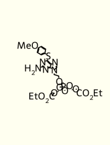 CCOC(=O)OCOP(=O)(COCCn1cnc2c(Sc3ccc(OC)cc3)nc(N)nc21)OCOC(=O)OCC